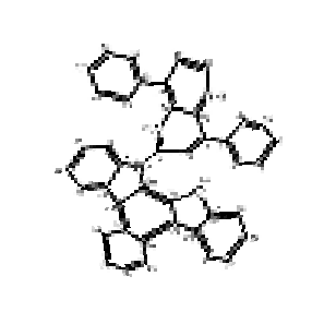 c1ccc(-c2cc(-n3c4ccccc4c4c5ccccc5c5c6ccccc6oc5c43)nc3c(-c4ccccc4)ccnc23)cc1